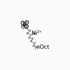 CCCCCCCC/C=C\CCCCCCCCOP(=O)([O-])[O-].[Ni+2]